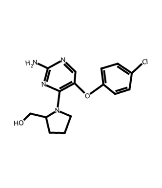 Nc1ncc(Oc2ccc(Cl)cc2)c(N2CCCC2CO)n1